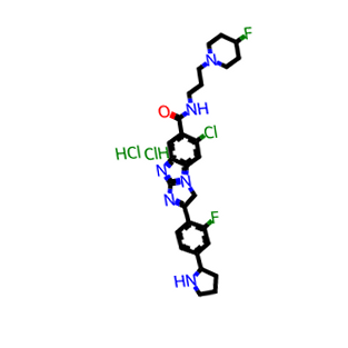 Cl.Cl.O=C(NCCCN1CCC(F)CC1)c1cc2nc3n(c2cc1Cl)CC(c1ccc(C2CCCN2)cc1F)=N3